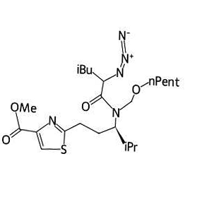 CCCCCOCN(C(=O)C(N=[N+]=[N-])C(C)CC)[C@H](CCc1nc(C(=O)OC)cs1)C(C)C